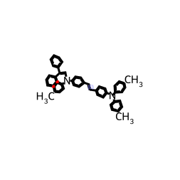 Cc1ccc(N(C=C(c2ccccc2)c2ccccc2)c2ccc(/C=C/c3ccc(N(c4ccc(C)cc4)c4ccc(C)cc4)cc3)cc2)cc1